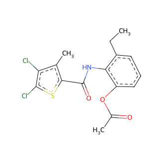 CCc1cccc(OC(C)=O)c1NC(=O)c1sc(Cl)c(Cl)c1C